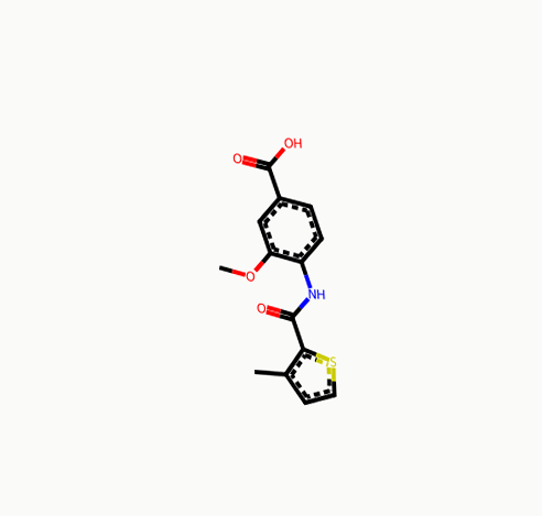 COc1cc(C(=O)O)ccc1NC(=O)c1sccc1C